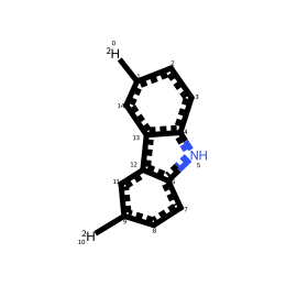 [2H]c1ccc2[nH]c3ccc([2H])cc3c2c1